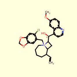 C=CC1CCCC[N+]2(Cc3cc4c(cc3Cl)OCO4)C1CC2[C@@H](O)c1ccnc2ccc(OC)cc12